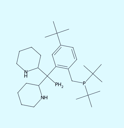 CC(C)(C)c1ccc(CP(C(C)(C)C)C(C)(C)C)c(C(P)(C2CCCCN2)C2CCCCN2)c1